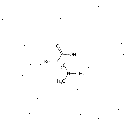 CN(C)C.O=C(O)CBr